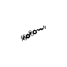 N#C/C=C/CC[C@H]1CC[C@H](OC(=O)c2ccc(OC(F)(F)F)cc2)CC1